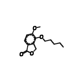 CCCCCOc1c(OC)ccc2c1COC2=O